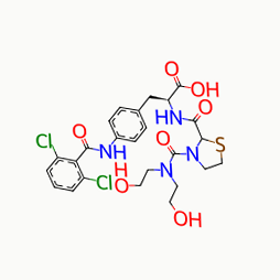 O=C(Nc1ccc(C[C@H](NC(=O)C2SCCN2C(=O)N(CCO)CCO)C(=O)O)cc1)c1c(Cl)cccc1Cl